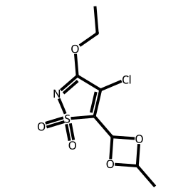 CCOC1=NS(=O)(=O)C(C2OC(C)O2)=C1Cl